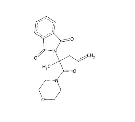 C=CCC(C)(C(=O)N1CCOCC1)N1C(=O)c2ccccc2C1=O